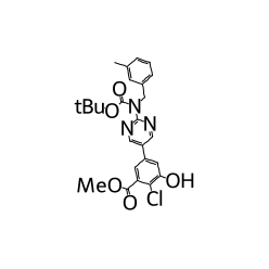 COC(=O)c1cc(-c2cnc(N(Cc3cccc(C)c3)C(=O)OC(C)(C)C)nc2)cc(O)c1Cl